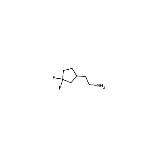 NCCC1CCC(F)(F)C1